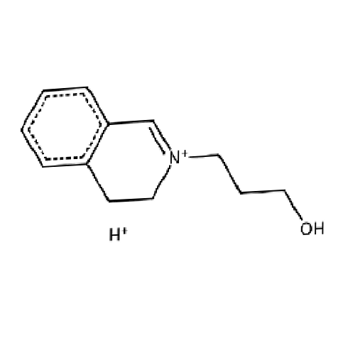 OCCC[N+]1=Cc2ccccc2CC1.[H+]